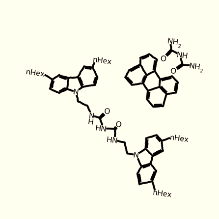 CCCCCCc1ccc2c(c1)c1cc(CCCCCC)ccc1n2CCNC(=O)NC(=O)NCCn1c2ccc(CCCCCC)cc2c2cc(CCCCCC)ccc21.NC(=O)NC(N)=O.c1cc2cccc3c4cccc5cccc(c(c1)c23)c54